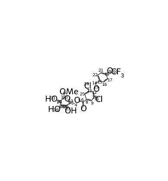 CO[C@@H]1O[C@H](COC(=O)c2cc(Cl)c(OCc3ccc(OC(F)(F)F)cc3)c(Cl)c2)[C@@H](O)[C@H](O)[C@H]1O